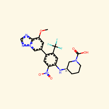 COc1cc(-c2cc([N+](=O)[O-])c(N[C@@H]3CCCN(C(=O)O)C3)cc2C(F)(F)F)cn2ncnc12